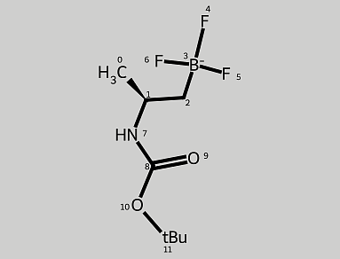 C[C@@H](C[B-](F)(F)F)NC(=O)OC(C)(C)C